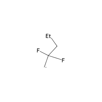 [CH2]C(F)(F)CCC